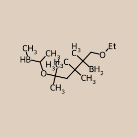 BC(C)(COCC)C(C)(C)CC(C)(C)OC(C)BC